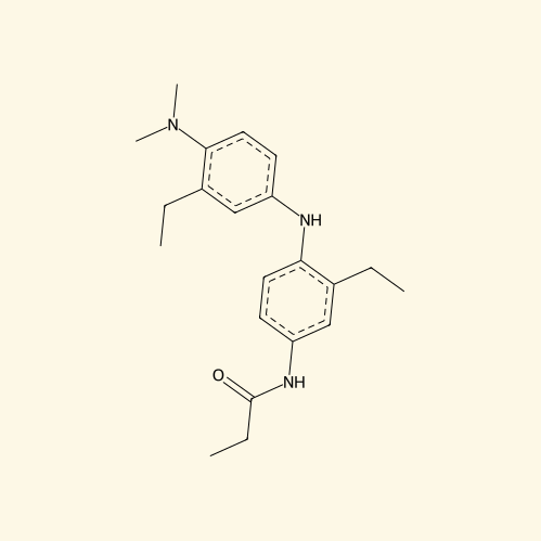 CCC(=O)Nc1ccc(Nc2ccc(N(C)C)c(CC)c2)c(CC)c1